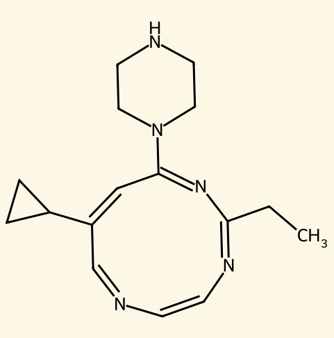 CCc1nccncc(C2CC2)cc(N2CCNCC2)n1